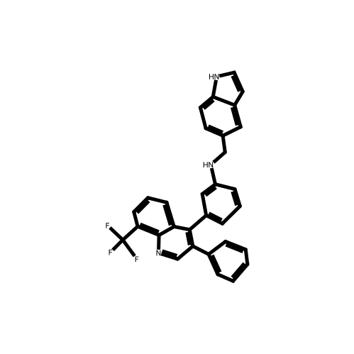 FC(F)(F)c1cccc2c(-c3cccc(NCc4ccc5[nH]ccc5c4)c3)c(-c3ccccc3)cnc12